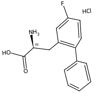 Cl.N[C@@H](Cc1cc(F)ccc1-c1ccccc1)C(=O)O